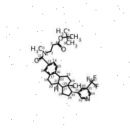 CN(CCC(=O)OC(C)(C)C)C(=O)c1ccc2c(c1)CC[C@@H]1C2CCC2(C)C1CC[C@@H]2c1cncc(C(F)(F)F)c1